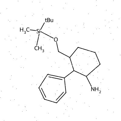 CC(C)(C)[Si](C)(C)OCC1CCCC(N)C1c1ccccc1